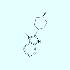 Cn1c2ccccc2nc1[C@H]1CC[C@H](C)CC1